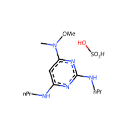 CCCNc1cc(N(C)OC)nc(NCCC)n1.O=S(=O)(O)O